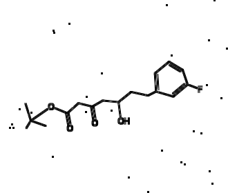 CC(C)(C)OC(=O)CC(=O)CC(O)CCc1cccc(F)c1